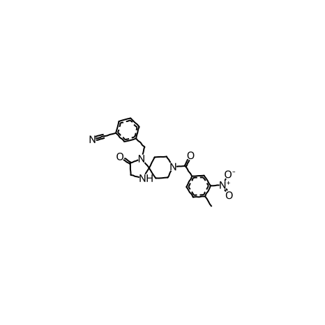 Cc1ccc(C(=O)N2CCC3(CC2)NCC(=O)N3Cc2cccc(C#N)c2)cc1[N+](=O)[O-]